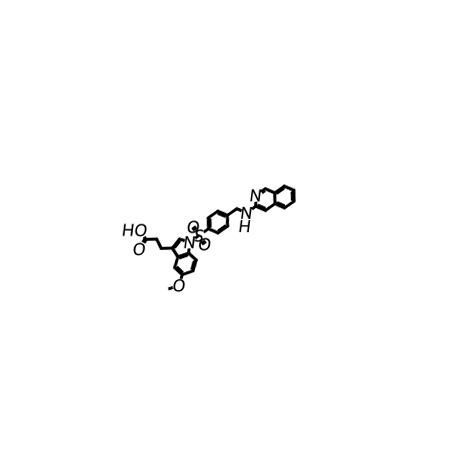 COc1ccc2c(c1)c(CCC(=O)O)cn2S(=O)(=O)c1ccc(CNc2cc3ccccc3cn2)cc1